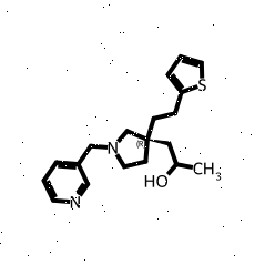 CC(O)C[C@@]1(CCc2cccs2)CCN(Cc2cccnc2)C1